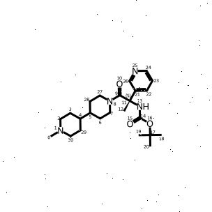 CN1CCC(C2CCN(C(=O)[C@@](C)(NC(=O)OC(C)(C)C)c3cccnc3)CC2)CC1